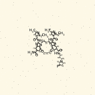 CCn1nc(C)cc1C(=O)Nc1nc2cc(C(N)=O)cc3c2n1C/C=C/Cn1c(NC(=O)c2cc(C)nn2CC)nc2cc(C(=O)NCCCN4CC[C@@H](F)C4)cc(c21)OCCCO3